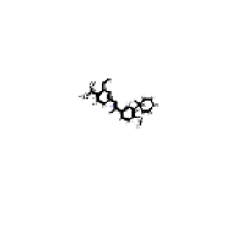 CCc1cc(/C=C(\C)c2ccc(OC)c(C3(C)CCCCC3)c2)ccc1C(=O)O